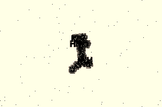 c1ccc(-c2ccc(C3=NC(c4ccccc4)NC(c4ccc(-c5ccc(C6Nc7c(c8ccccc8c8ccncc78)N6c6ccccc6)cc5)cc4)=N3)cc2)cc1